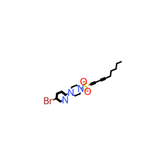 CCCCCC#CC#CS(=O)(=O)N1CCN(c2ccc(Br)cn2)CC1